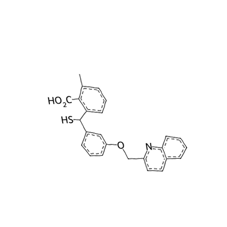 Cc1cccc(C(S)c2cccc(OCc3ccc4ccccc4n3)c2)c1C(=O)O